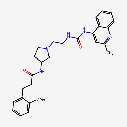 COc1ccccc1CCC(=O)NC1CCN(CCNC(=O)Nc2cc(C)nc3ccccc23)C1